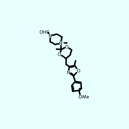 COc1ccc(-c2nc(CC3CCOC(C)([N+]4(C)CCN(C=O)CC4)O3)c(C)o2)cc1